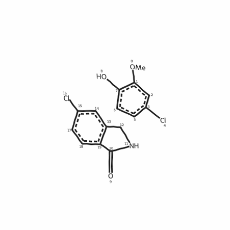 COc1cc(Cl)ccc1O.O=C1NCc2cc(Cl)ccc21